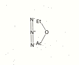 CCOC(C)=O.[N-]=[N+]=[N-]